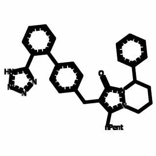 CCCCCc1c(Cc2ccc(-c3ccccc3-c3nnn[nH]3)cc2)c(=O)n2n1CCCC2c1ccccc1